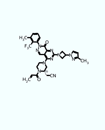 C=CC(=O)N1CCN(c2nc(N3CC(n4ccc(C)n4)C3)nc3c(=O)n(-c4cccc(C)c4C(F)(F)F)ncc23)C[C@@H]1CC#N